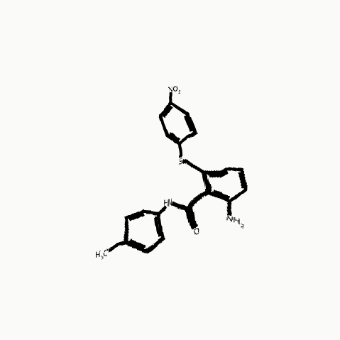 Cc1ccc(NC(=O)c2c(N)cccc2Sc2ccc([N+](=O)[O-])cc2)cc1